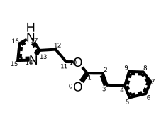 O=C(C=Cc1ccccc1)OCCc1ncc[nH]1